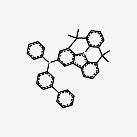 CC1(C)c2cccc3c2-n2c4c1cccc4c1cc(N(c4ccccc4)c4cccc(-c5ccccc5)c4)cc(c12)C3(C)C